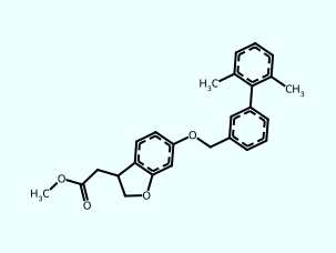 COC(=O)CC1COc2cc(OCc3cccc(-c4c(C)cccc4C)c3)ccc21